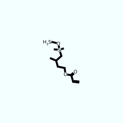 C=CC(=O)OCCC(C)C[Si](C)(C)O[SiH3]